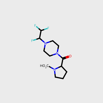 O=C(C1CCCN1C(=O)O)N1CCN(C(F)C(F)F)CC1